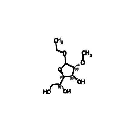 CCOC1O[C@H]([C@H](O)CO)[C@H](O)[C@H]1OC